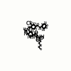 CCCCCS(=O)(=O)NNC(=O)c1ccc2nc(C)n(Cc3ccc(CCc4ccccc4)cc3Cl)c2c1